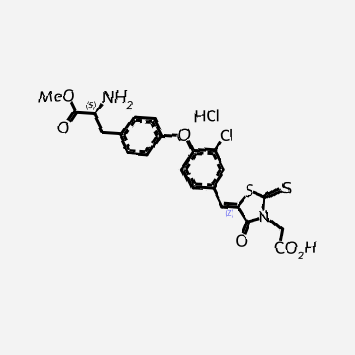 COC(=O)[C@@H](N)Cc1ccc(Oc2ccc(/C=C3\SC(=S)N(CC(=O)O)C3=O)cc2Cl)cc1.Cl